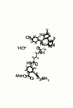 COC(=O)c1ccc(NC(=O)CCCNC(=O)C[C@@H]2N=C(c3ccc(Cl)cc3)c3c(sc(C)c3C)-n3c(C)nnc32)cc1C#CCN.Cl